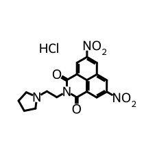 Cl.O=C1c2cc([N+](=O)[O-])cc3cc([N+](=O)[O-])cc(c23)C(=O)N1CCN1CCCC1